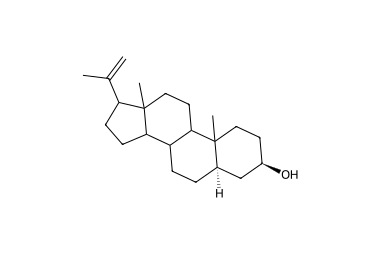 C=C(C)C1CCC2C3CC[C@@H]4C[C@H](O)CCC4(C)C3CCC12C